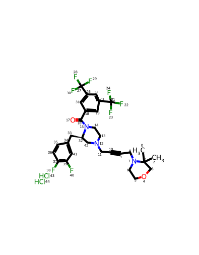 CC1(C)COCCN1CC#CCN1CCN(C(=O)c2cc(C(F)(F)F)cc(C(F)(F)F)c2)[C@H](Cc2ccc(F)c(F)c2)C1.Cl.Cl